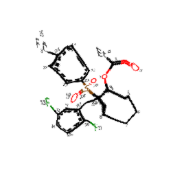 CCC(=O)OC1CCCCC1(c1cc(F)ccc1F)S(=O)(=O)c1ccc(C(F)(F)F)cc1